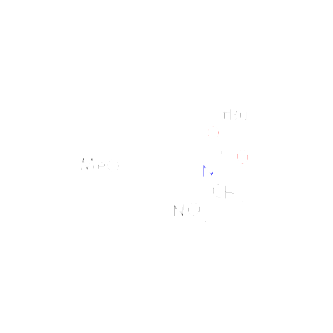 COc1ccc(N(C)C(=O)OC(C)(C)C)c([N+](=O)[O-])c1